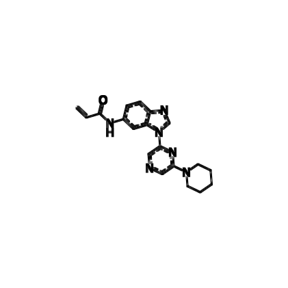 C=CC(=O)Nc1ccc2ncn(-c3cncc(N4CCCCC4)n3)c2c1